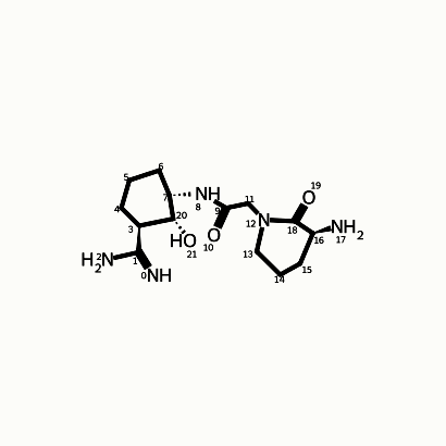 N=C(N)[C@H]1CCC[C@H](NC(=O)CN2CCC[C@H](N)C2=O)[C@@H]1O